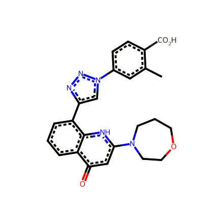 Cc1cc(-n2cc(-c3cccc4c(=O)cc(N5CCCOCC5)[nH]c34)nn2)ccc1C(=O)O